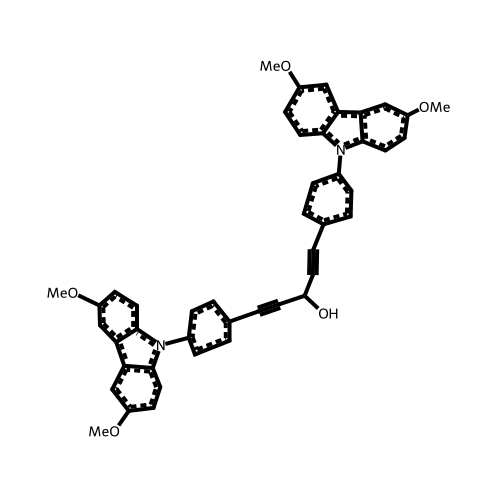 COc1ccc2c(c1)c1cc(OC)ccc1n2-c1ccc(C#CC(O)C#Cc2ccc(-n3c4ccc(OC)cc4c4cc(OC)ccc43)cc2)cc1